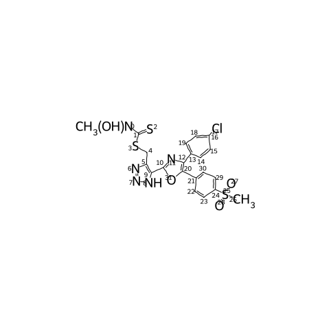 CN(O)C(=S)SCc1nn[nH]c1-c1nc(-c2ccc(Cl)cc2)c(-c2ccc(S(C)(=O)=O)cc2)o1